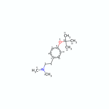 CN(C)CCc1ccc(OC(C)(C)C)cc1